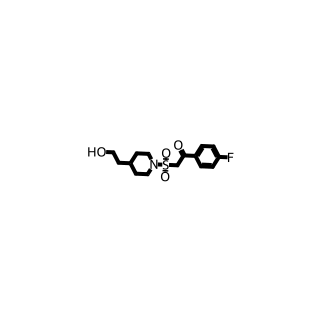 O=C(CS(=O)(=O)N1CCC(CCO)CC1)c1ccc(F)cc1